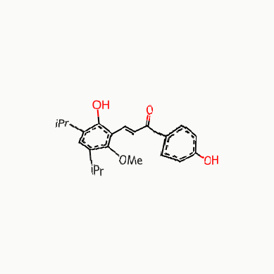 COc1c(C(C)C)cc(C(C)C)c(O)c1C=CC(=O)c1ccc(O)cc1